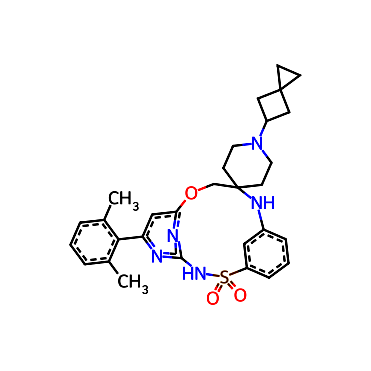 Cc1cccc(C)c1-c1cc2nc(n1)NS(=O)(=O)c1cccc(c1)NC1(CCN(C3CC4(CC4)C3)CC1)CO2